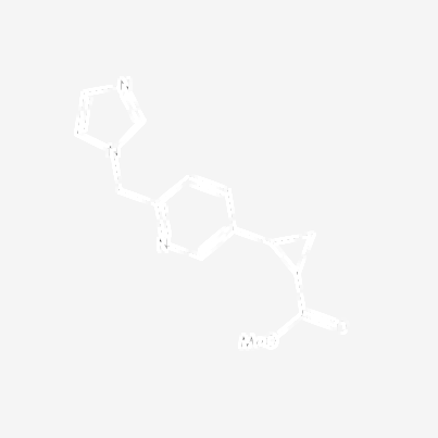 COC(=O)C1CC1c1ccc(Cn2ccnc2)nc1